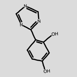 Oc1ccc(-c2ncncn2)c(O)c1